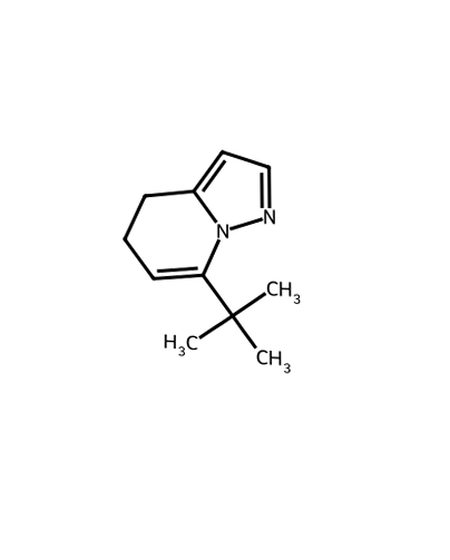 CC(C)(C)C1=CCCc2ccnn21